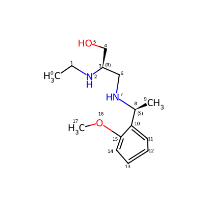 CCN[C@@H](CO)CN[C@@H](C)c1ccccc1OC